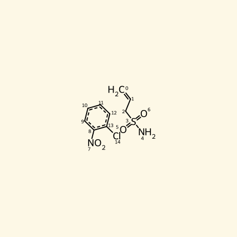 C=CCS(N)(=O)=O.O=[N+]([O-])c1ccccc1Cl